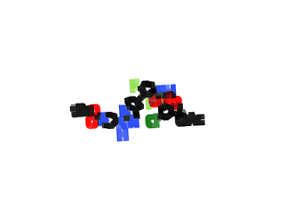 CC(=O)O[C@@H]1COc2c1cc(Cl)cc2S(=O)(=O)Nc1ccc(F)c(-c2ccc3nc(NC4CCN(C(=O)OC(C)(C)C)CC4)ncc3c2)c1F